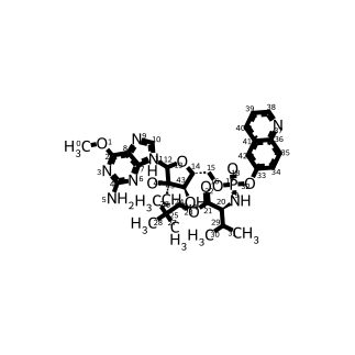 COc1nc(N)nc2c1ncn2C1O[C@H](COP(=O)(N[C@H](C(=O)OCC(C)(C)C)C(C)C)Oc2ccc3ncccc3c2)[C@@H](O)[C@@]1(C)O